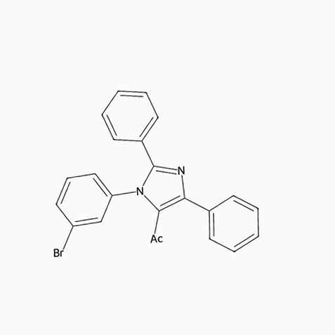 CC(=O)c1c(-c2ccccc2)nc(-c2ccccc2)n1-c1cccc(Br)c1